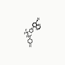 N#Cc1ccc(N2C[C@H](CNC3CCNCC3)[C@@H](C(F)(F)F)C2)c2nccnc12